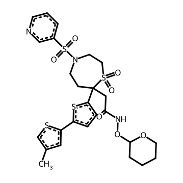 Cc1csc(-c2ccc(C3(CC(=O)NOC4CCCCO4)CCN(S(=O)(=O)c4cccnc4)CCS3(=O)=O)s2)c1